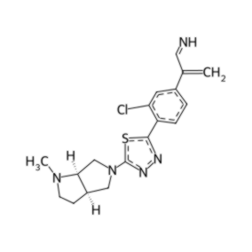 C=C(C=N)c1ccc(-c2nnc(N3C[C@H]4CCN(C)[C@H]4C3)s2)c(Cl)c1